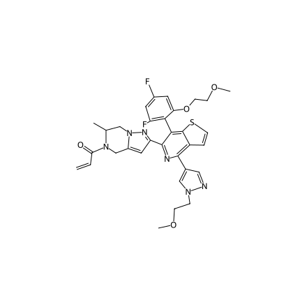 C=CC(=O)N1Cc2cc(-c3nc(-c4cnn(CCOC)c4)c4ccsc4c3-c3c(F)cc(F)cc3OCCOC)nn2CC1C